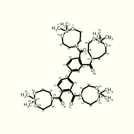 C[Si]1(C)OCCN(C(=O)c2ccc(-c3ccc(C(=O)N4CCO[Si](C)(C)OCC4)c(C(=O)N4CCO[Si](C)(C)OCC4)c3)cc2C(=O)N2CCO[Si](C)(C)OCC2)CCO1